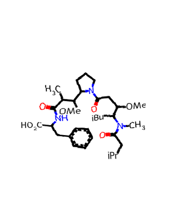 CCC(C)C(C(CC(=O)N1CCCC1C(OC)C(C)C(=O)NC(Cc1ccccc1)C(=O)O)OC)N(C)C(=O)CC(C)C